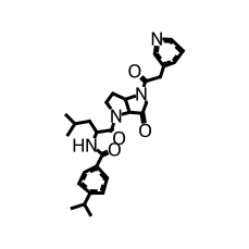 CC(C)CC(NC(=O)c1ccc(C(C)C)cc1)C(=O)N1CCC2C1C(=O)CN2C(=O)Cc1cccnc1